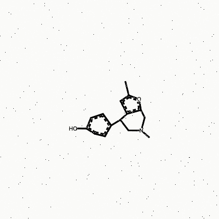 Cc1cc2c(o1)CN(C)CC2c1ccc(O)cc1